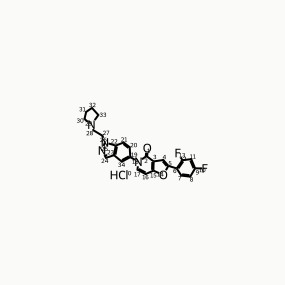 Cl.O=c1c2cc(-c3ccc(F)cc3F)oc2ccn1-c1ccc2c(cnn2CCN2CCCC2)c1